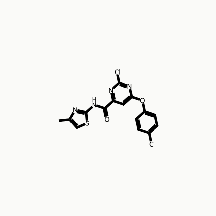 Cc1csc(NC(=O)c2cc(Oc3ccc(Cl)cc3)nc(Cl)n2)n1